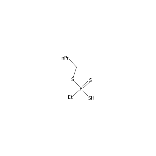 CCCCSP(=S)(S)CC